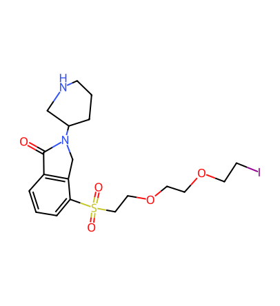 O=C1c2cccc(S(=O)(=O)CCOCCOCCI)c2CN1C1CCCNC1